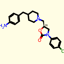 Nc1ccc(CC2CCN(C[C@H]3CN(c4ccc(Cl)cc4)C(=O)O3)CC2)cc1